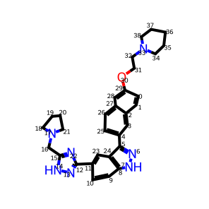 c1cc2cc(-c3n[nH]c4ccc(-c5n[nH]c(CN6CCCC6)n5)cc34)ccc2cc1OCCN1CCCCC1